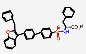 O=C(O)[C@H](Cc1ccccc1)NS(=O)(=O)c1ccc(-c2ccc(-c3c(Cc4ccccc4)oc4ccccc34)cc2)cc1